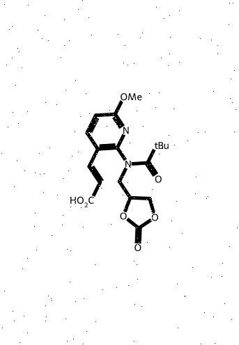 COc1ccc(C=CC(=O)O)c(N(CC2COC(=O)O2)C(=O)C(C)(C)C)n1